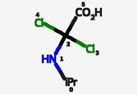 CC(C)NC(Cl)(Cl)C(=O)O